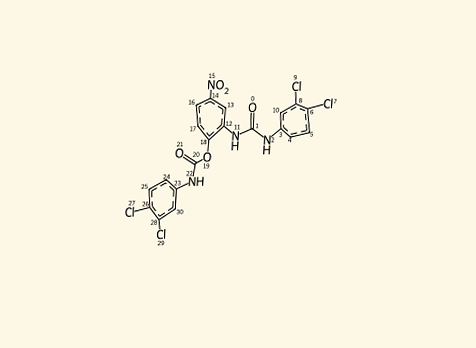 O=C(Nc1ccc(Cl)c(Cl)c1)Nc1cc([N+](=O)[O-])ccc1OC(=O)Nc1ccc(Cl)c(Cl)c1